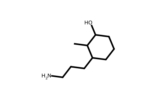 CC1C(O)CCCC1CCCN